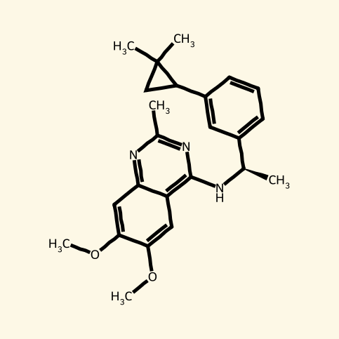 COc1cc2nc(C)nc(N[C@H](C)c3cccc(C4CC4(C)C)c3)c2cc1OC